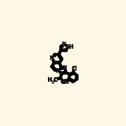 CC(O)c1c(-c2c(Cl)cccc2Cl)nc2c3cc(-c4cn[nH]c4)cnc3ccn12